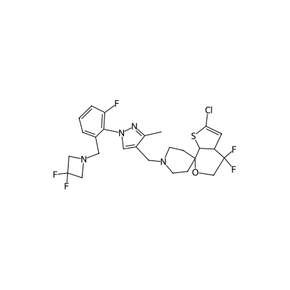 Cc1nn(-c2c(F)cccc2CN2CC(F)(F)C2)cc1CN1CCC2(CC1)OCC(F)(F)C1C=C(Cl)SC12